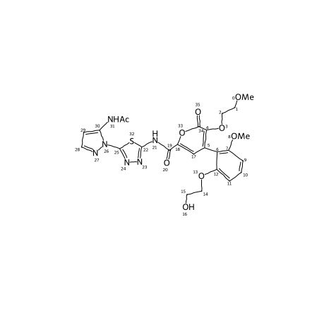 COCCOc1c(-c2c(OC)cccc2OCCO)cc(C(=O)Nc2nnc(-n3nccc3NC(C)=O)s2)oc1=O